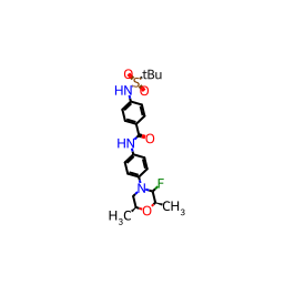 C[C@H]1CN(c2ccc(NC(=O)c3ccc(NS(=O)(=O)C(C)(C)C)cc3)cc2)C(F)[C@@H](C)O1